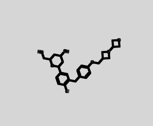 OCC1CC(O)CC(c2ccc(Cl)c(Cc3ccc(OCC4CN(C5COC5)C4)cc3)c2)O1